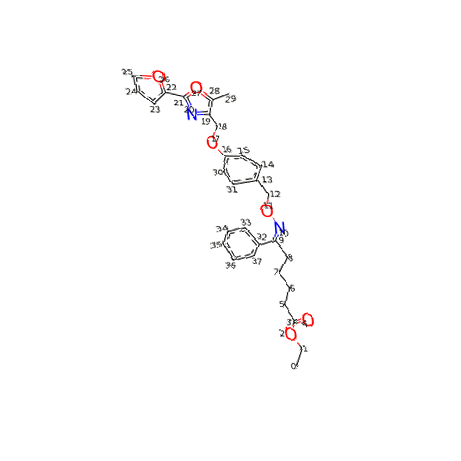 CCOC(=O)CCCCC(=NOCc1ccc(OCc2nc(-c3ccco3)oc2C)cc1)c1ccccc1